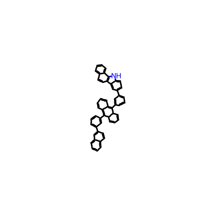 C1=CC2C(c3cccc(-c4ccc5ccccc5c4)c3)=c3ccccc3=C(c3cccc(-c4ccc5[nH]c6c7ccccc7ccc6c5c4)c3)C2C=C1